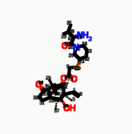 C=C[C@]1(C)C[C@@H](OC(=O)CSC2CCCN(C(=O)C(N)C(C)C)C2)[C@]2(C)C(C)CCC3(CCC(=O)C32)[C@@H](C)[C@@H]1O